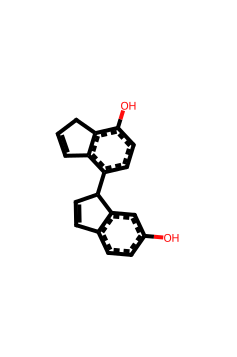 Oc1ccc2c(c1)C(c1ccc(O)c3c1C=CC3)C=C2